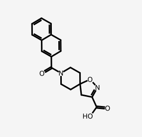 O=C(O)C1=NOC2(CCN(C(=O)c3ccc4ccccc4c3)CC2)C1